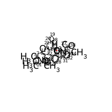 CCN1C(=O)C2=C(CC1(C)C)OC1=C(C(=O)CC3(CCC3)C1)[C@H]2c1c(OC)ccc(-c2ccc(C)c(C(C)=O)n2)c1C